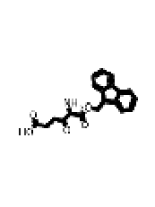 NC(C(=O)CCC(=O)O)C(=O)OCC1c2ccccc2-c2ccccc21